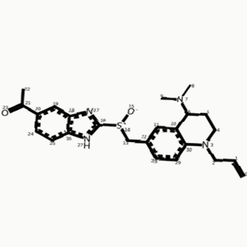 C=CCN1CCC(N(C)C)c2cc(C[S+]([O-])c3nc4cc(C(C)=O)ccc4[nH]3)ccc21